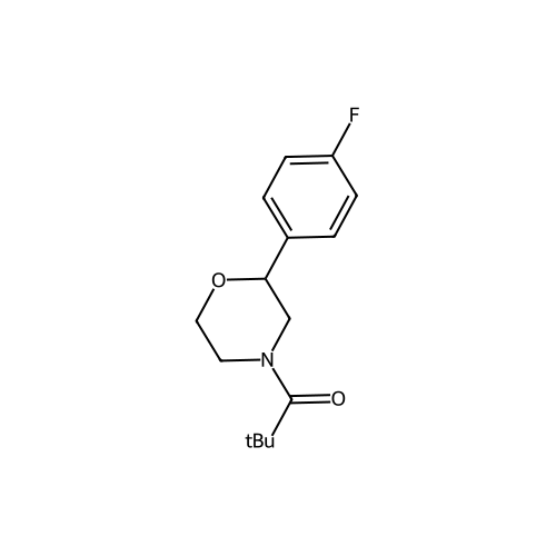 CC(C)(C)C(=O)N1CCOC(c2ccc(F)cc2)C1